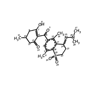 Cc1cc(C(=O)C2=C(O)CC(C)CC2=O)c(C)c2c1S(=O)(=O)CC/C2=N\N(C)C